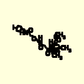 CNC(=O)[C@H](CCC(=O)NCCOCCC(=O)NCc1ccc(I)cc1)NC(=O)[C@@H](CC(=O)OC)CC(C)C